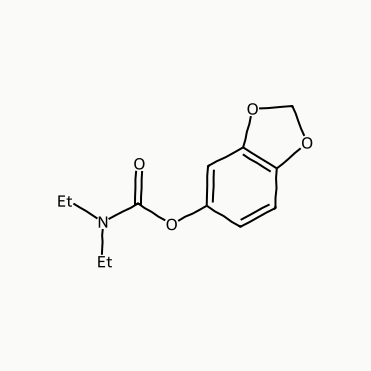 CCN(CC)C(=O)Oc1ccc2c(c1)OCO2